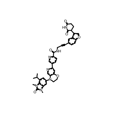 CC(C)c1cc(N2CCOc3cc(-c4ccc(C(=O)NCC#Cc5ccc6occ(C7CCC(=O)NC7=O)c6c5)nc4)ncc32)cc2c1n(C)c(=O)n2C